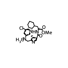 COC(=O)[C@H](CC1CCCCC1)NC(=O)c1cnc(CN(C)c2cncc(Cl)c2)s1